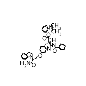 CN(C)c1ccccc1OC(=O)CN1Cc2ccc(OCCC(C(N)=O)N3CCc4ccccc43)cc2N=C1NC(=O)c1ccccc1